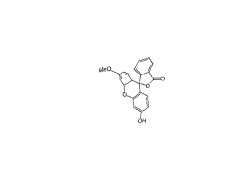 COC1=CC2Oc3cc(O)ccc3C3(OC(=O)c4ccccc43)C2C=C1